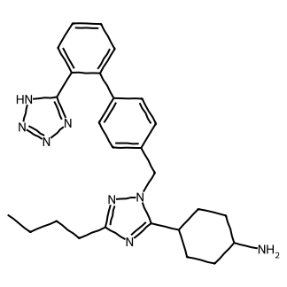 CCCCc1nc(C2CCC(N)CC2)n(Cc2ccc(-c3ccccc3-c3nnn[nH]3)cc2)n1